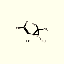 CC1(C)[C@H](C=C(Cl)Cl)[C@H]1C(=O)O.Cl